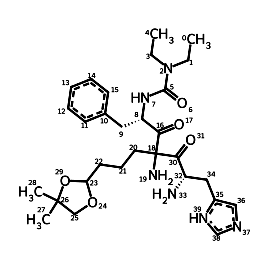 CCN(CC)C(=O)N[C@@H](Cc1ccccc1)C(=O)C(N)(CCCC1OCC(C)(C)O1)C(=O)[C@@H](N)Cc1cnc[nH]1